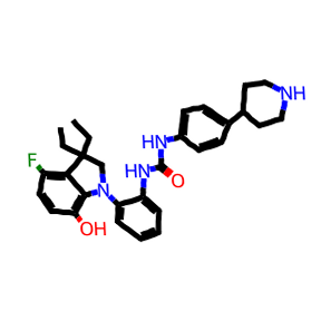 CCC1(CC)CN(c2ccccc2NC(=O)Nc2ccc(C3CCNCC3)cc2)c2c(O)ccc(F)c21